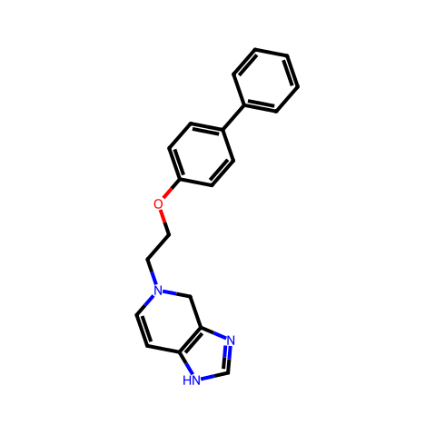 C1=CN(CCOc2ccc(-c3ccccc3)cc2)Cc2nc[nH]c21